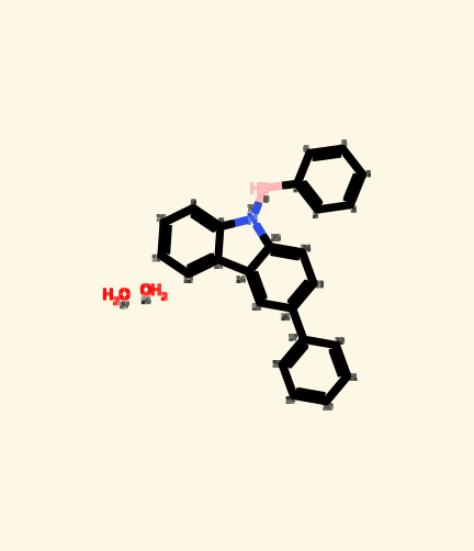 B(c1ccccc1)n1c2ccccc2c2cc(-c3ccccc3)ccc21.O.O